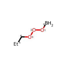 BOOOCCC